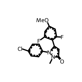 COc1cc(F)c(-c2cc(=O)n(C)n2-c2ccc(Cl)cc2)c(F)c1